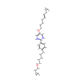 CCC=CCCCCOc1cnc(-c2ccc(CCCCCOCCC)cc2)nc1